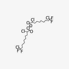 O=C(OOC(=O)C(Cl)CCCCCCCC(F)(F)Cl)C(Cl)CCCCCCCC(F)(F)Cl